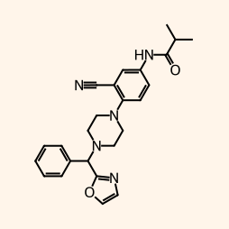 CC(C)C(=O)Nc1ccc(N2CCN(C(c3ccccc3)c3ncco3)CC2)c(C#N)c1